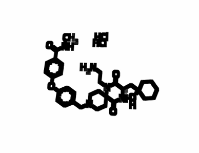 CNC(=O)c1ccc(Oc2ccc(CN3CCC4(CC3)C(=O)N[C@H](CC3(O)CCCCC3)C(=O)N4CCN)cc2)cc1.Cl.Cl